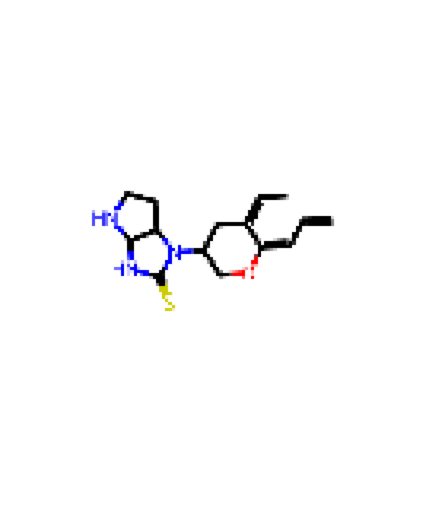 C=C/C=C1/OCC(N2C(=S)NC3NCCC32)C/C1=C/C